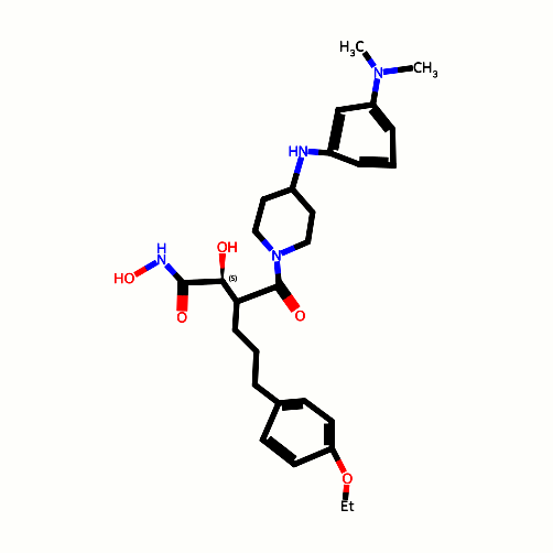 CCOc1ccc(CCCC(C(=O)N2CCC(Nc3cccc(N(C)C)c3)CC2)[C@H](O)C(=O)NO)cc1